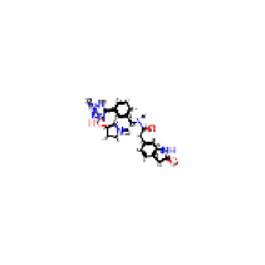 CN(C(=O)Cc1ccc2c(c1)NC(=O)C2)[C@H](CN1CCC(O)C1)c1cccc(-c2nnn(C)n2)c1